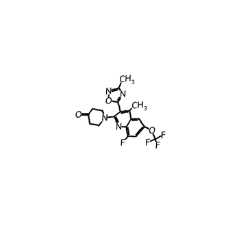 Cc1noc(-c2c(N3CCC(=O)CC3)nc3c(F)cc(OC(F)(F)F)cc3c2C)n1